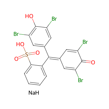 O=C1C(Br)=CC(=C(c2cc(Br)c(O)c(Br)c2)c2ccccc2S(=O)(=O)O)C=C1Br.[NaH]